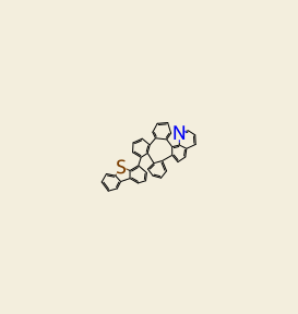 c1ccc2c(c1)-c1ccc3cccnc3c1-c1ccccc1-c1cccc(-c3cccc4c3sc3ccccc34)c1-2